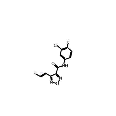 O=C(Nc1ccc(F)c(Cl)c1)c1nonc1/C=C/F